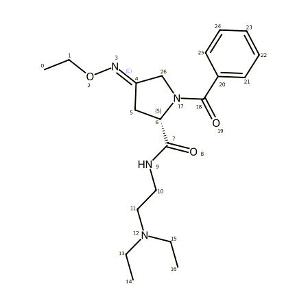 CCO/N=C1\C[C@@H](C(=O)NCCN(CC)CC)N(C(=O)c2ccccc2)C1